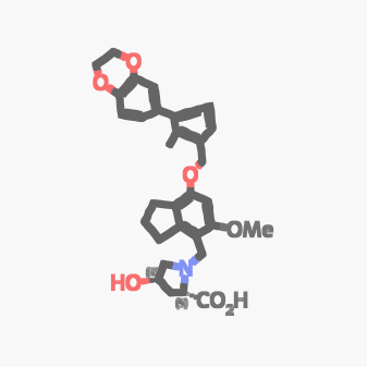 COc1cc(OCc2cccc(-c3ccc4c(c3)OCCO4)c2C)c2c(c1CN1C[C@H](O)C[C@H]1C(=O)O)CCC2